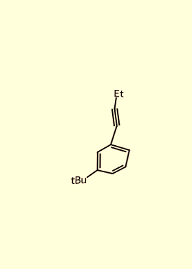 CCC#Cc1cccc(C(C)(C)C)c1